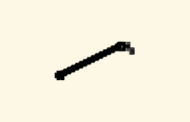 CCCCCCCCCCCCCCCCCCCCCCCCCCCC/C=C/[N]